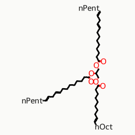 CCCCC/C=C/C/C=C/CCCCCCCC(=O)OCC(COC(=O)CCCCCCC/C=C/CCCCCCCC)OC(=O)CCCCCCC/C=C/C/C=C/CCCCC